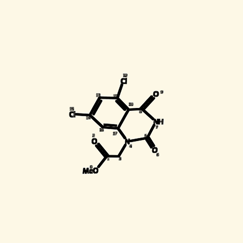 COC(=O)Cn1c(=O)[nH]c(=O)c2c(Cl)cc(Cl)cc21